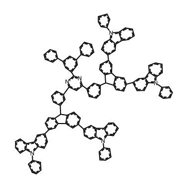 c1ccc(-c2cc(-c3ccccc3)cc(-c3nc(-c4cccc(C5c6ccc(-c7ccc8c(c7)c7ccccc7n8-c7ccccc7)cc6-c6cc(-c7ccc8c(c7)c7ccccc7n8-c7ccccc7)ccc65)c4)cc(-c4cccc(C5c6ccc(-c7ccc8c(c7)c7ccccc7n8-c7ccccc7)cc6-c6cc(-c7ccc8c(c7)c7ccccc7n8-c7ccccc7)ccc65)c4)n3)c2)cc1